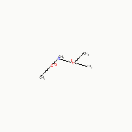 CCCCCCCCCCOCC(=O)CCCN(C)CCCCCCCC(=O)OC(CCCCCCCC)CCCCCCCC